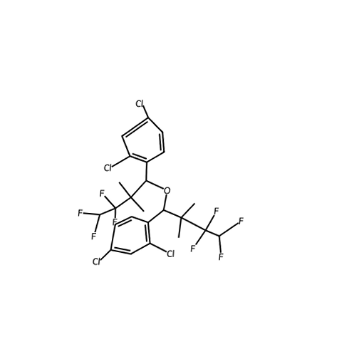 CC(C)(C(OC(c1ccc(Cl)cc1Cl)C(C)(C)C(F)(F)C(F)F)c1ccc(Cl)cc1Cl)C(F)(F)C(F)F